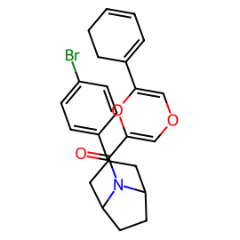 O=C(C1=COC=C(C2=CC=CCC2)O1)N1C2CCC1CC(c1ccc(Br)cc1)C2